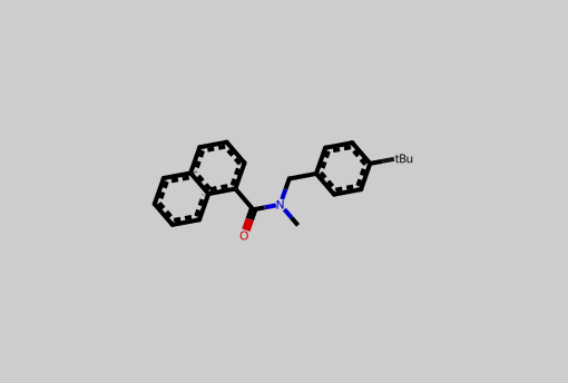 CN(Cc1ccc(C(C)(C)C)cc1)C(=O)c1cccc2ccccc12